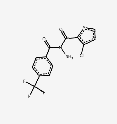 NN(C(=O)c1ccc(C(F)(F)F)cc1)C(=O)c1sccc1Cl